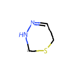 [C]1NN=CCS1